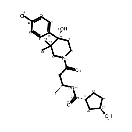 C[C@H](CC(=O)N1CC[C@](O)(c2ccc(Cl)cc2)C(C)(C)C1)NC(=O)[C@@H]1CC[C@@H](O)C1